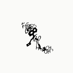 C[C@H](NS(=O)(=O)c1ccc(-c2sc(C(=O)NCCN3CC(C)(O)C3)nc2CC2CCC2)c2ccccc12)C(F)(F)F